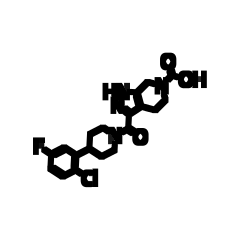 O=C(O)N1CCc2c(C(=O)N3CCC(c4cc(F)ccc4Cl)CC3)n[nH]c2C1